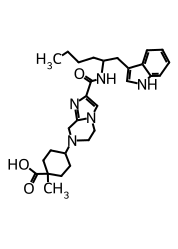 CCCCC(Cc1c[nH]c2ccccc12)NC(=O)c1cn2c(n1)CN(C1CCC(C)(C(=O)O)CC1)CC2